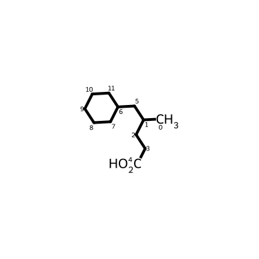 CC(CCC(=O)O)CC1CCCCC1